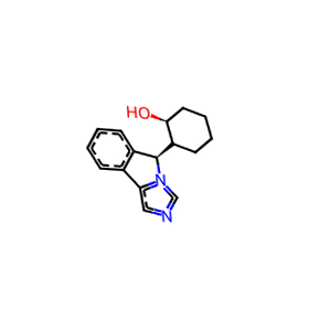 O[C@H]1CCCCC1[C@@H]1c2ccccc2-c2cncn21